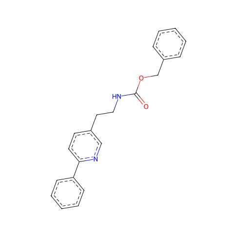 O=C(NCCc1ccc(-c2ccccc2)nc1)OCc1ccccc1